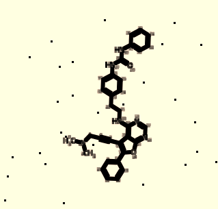 CN(C)CC#Cc1c(-c2ccccc2)oc2ncnc(NCCc3ccc(NC(=O)Nc4ccccc4)cc3)c12